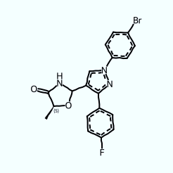 C[C@@H]1OC(c2cn(-c3ccc(Br)cc3)nc2-c2ccc(F)cc2)NC1=O